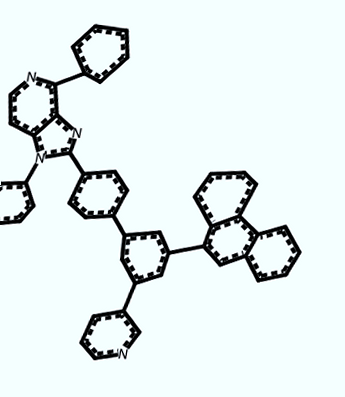 c1ccc(-c2nccc3c2nc(-c2ccc(-c4cc(-c5cccnc5)cc(-c5cc6ccccc6c6ccccc56)c4)cc2)n3-c2ccccc2)cc1